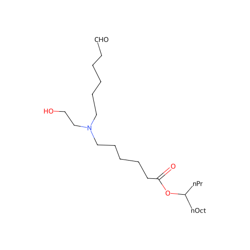 CCCCCCCCC(CCC)OC(=O)CCCCCN(CCO)CCCCCC=O